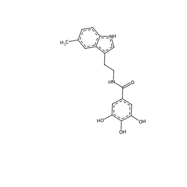 Cc1ccc2[nH]cc(CCNC(=O)c3cc(O)c(O)c(O)c3)c2c1